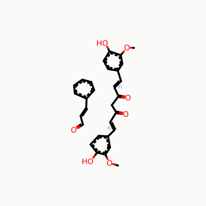 COc1cc(/C=C/C(=O)CC(=O)/C=C/c2ccc(O)c(OC)c2)ccc1O.O=CC=Cc1ccccc1